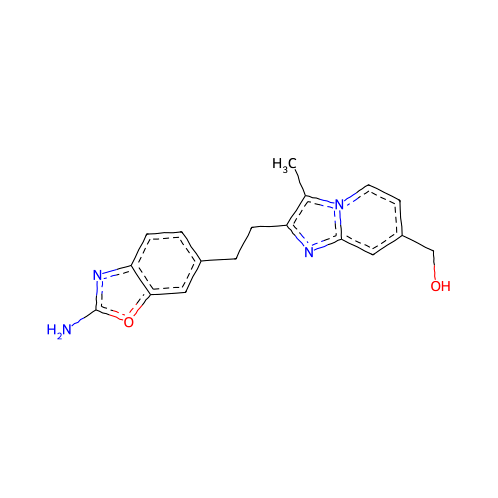 Cc1c(CCc2ccc3nc(N)oc3c2)nc2cc(CO)ccn12